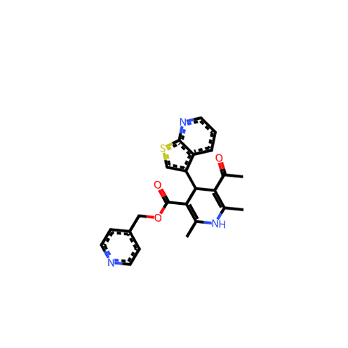 CC(=O)C1=C(C)NC(C)=C(C(=O)OCc2ccncc2)C1c1csc2ncccc12